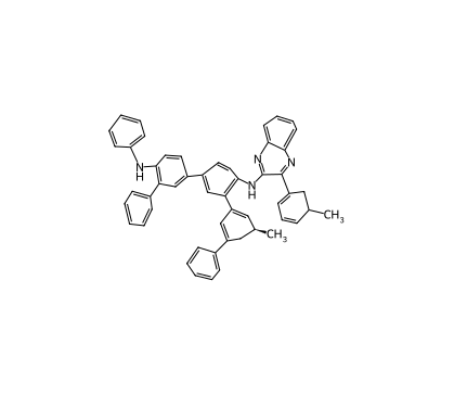 CC1C=CC=C(c2nc3ccccc3nc2Nc2ccc(-c3ccc(Nc4ccccc4)c(-c4ccccc4)c3)cc2C2=C[C@@H](C)CC(c3ccccc3)=C2)C1